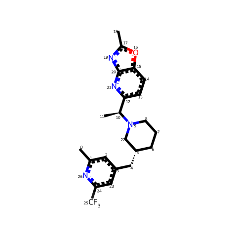 Cc1cc(C[C@H]2CCCN([C@@H](C)c3ccc4oc(C)nc4n3)C2)cc(C(F)(F)F)n1